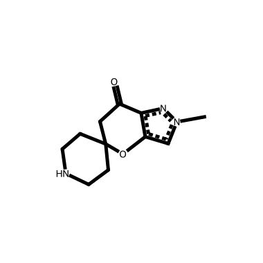 Cn1cc2c(n1)C(=O)CC1(CCNCC1)O2